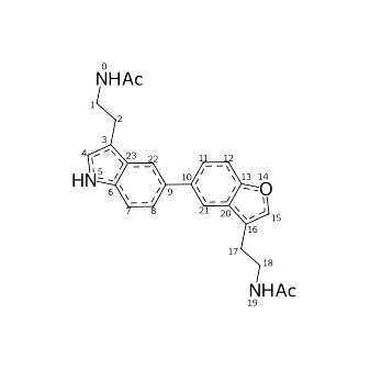 CC(=O)NCCc1c[nH]c2ccc(-c3ccc4occ(CCNC(C)=O)c4c3)cc12